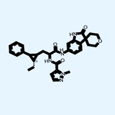 CC[C@H]1C(CC(NC(=O)c2ccnn2C)C(=O)Nc2ccc3c(c2)NC(=O)C32CCOCC2)C1c1ccccc1